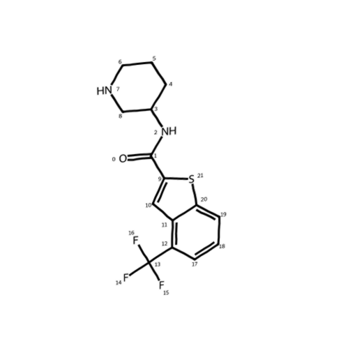 O=C(NC1CCCNC1)c1cc2c(C(F)(F)F)cccc2s1